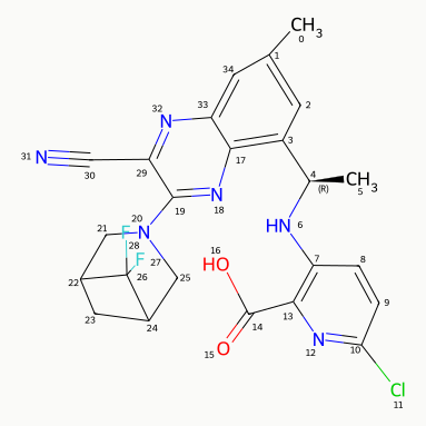 Cc1cc([C@@H](C)Nc2ccc(Cl)nc2C(=O)O)c2nc(N3CC4CC(C3)C4(F)F)c(C#N)nc2c1